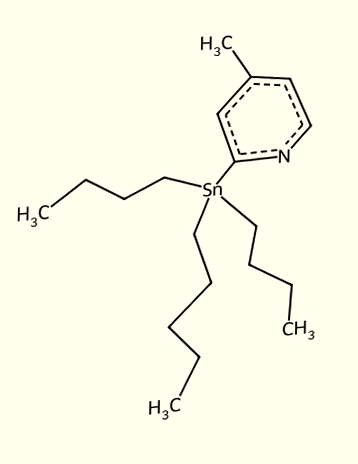 CCCC[CH2][Sn]([CH2]CCC)([CH2]CCC)[c]1cc(C)ccn1